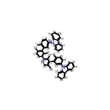 Cc1ccc(-n2c3ccccc3c3ccccc32)cc1-c1c(C)ccc(-c2ncc(C)c(-c3cc(-n4c5ccccc5c5ccccc54)ccc3C)c2C)c1C